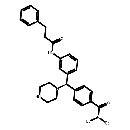 CCN(CC)C(=O)c1ccc([C@H](c2cccc(NC(=O)CCc3ccccc3)c2)N2CCNCC2)cc1